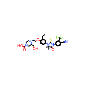 CCc1cc(N2C(=S)N(c3ccc(C#N)c(C(F)(F)F)c3)C(=O)C2(C)C)ccc1OCCN1CCN(C(=O)O)CC1CO